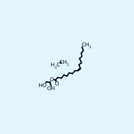 C=C.CCCCCCCC/C=C\CCCCCCCC(=O)OC(CO)CO